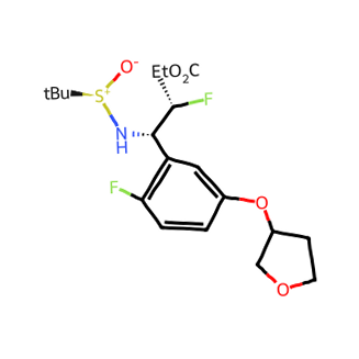 CCOC(=O)[C@H](F)[C@@H](N[S@+]([O-])C(C)(C)C)c1cc(OC2CCOC2)ccc1F